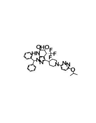 CC(C)Oc1ccc(N2CCC(c3nn(C(c4ccccc4)c4ccccc4)c4c3[C@@H](C(F)(F)F)C(O)C(=O)N4)CC2)nn1